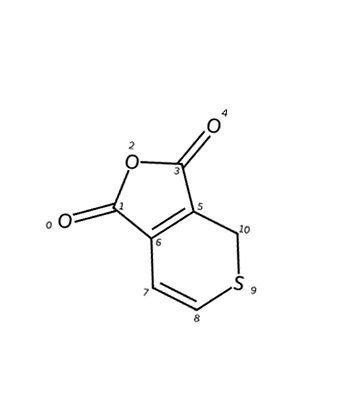 O=C1OC(=O)C2=C1C=CSC2